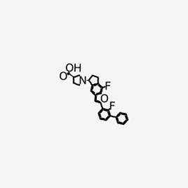 O=C(O)[C@@H]1CCN([C@@H]2CCc3c2cc2cc(-c4cccc(-c5ccccc5)c4F)oc2c3F)C1